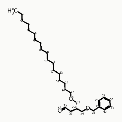 CCCCCCCCCCCCCCCCCCOC[C@@H](CC=O)COCc1ccccc1